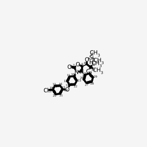 C[SiH](C)OC([C@@H]1OC(=O)N(c2ccc(Oc3ccc(Cl)cc3)cc2)[C@H]1c1ccccc1)C(C)(C)C